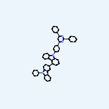 c1ccc(-c2cc(-c3ccc(-n4c5ccccc5c5c(-c6ccc7c(c6)c6ccccc6n7-c6ccccc6)cccc54)cc3)nc(-c3ccccc3)n2)cc1